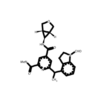 CNC(=O)c1cc(C(=O)N[C@H]2[C@@H]3COC[C@@H]32)cc(C(C)c2cccc3c2CCN3C=O)n1